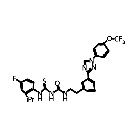 CC(C)c1cc(F)ccc1NC(=S)NC(=O)NCCc1cccc(-c2ncn(-c3ccc(OC(F)(F)F)cc3)n2)c1